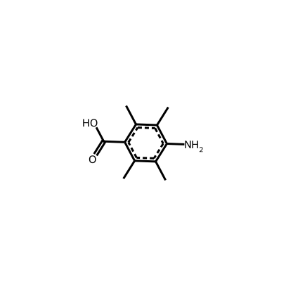 Cc1c(C)c(C(=O)O)c(C)c(C)c1N